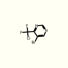 FC(F)(Cl)c1ncncc1Br